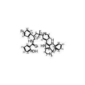 CN1CCc2[nH]c(-c3ccnc(C(F)(F)CC(CNC(=O)c4ccccc4O)c4ccc(F)cc4)c3)c(Nc3ccccc3)c2C1=O